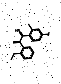 C=C(C(=N)c1ccc(F)cc1C)c1ccccc1CC